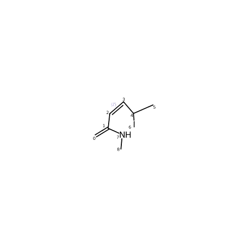 C=C(/C=C\C(C)I)NC